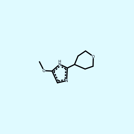 COc1cnc(C2CCOCC2)[nH]1